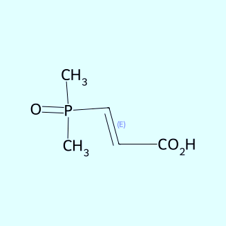 CP(C)(=O)/C=C/C(=O)O